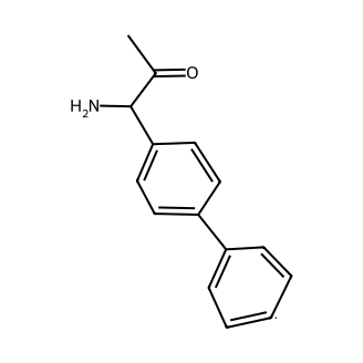 CC(=O)C(N)c1ccc(-c2cc[c]cc2)cc1